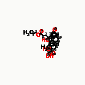 CCCOC(=O)CCCC1CC(=O)C=C2CC[C@@H]3[C@H]([C@@H](O)C[C@@]4(C)[C@H]3CC[C@]4(O)C(=O)CO)[C@]21C